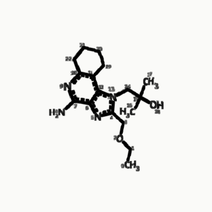 CCOCc1nc2c(N)nc3c(c2n1CC(C)(C)O)CCCC3